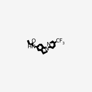 C=CC(=O)Nc1ccc2c(ccn2-c2ccc(C(F)(F)F)cn2)c1